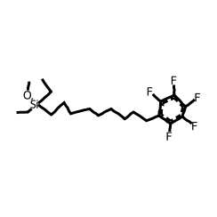 CC[Si](CC)(CCCCCCCCCc1c(F)c(F)c(F)c(F)c1F)OC